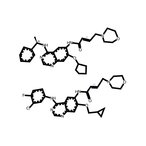 C[C@@H](Nc1ncnc2cc(OC3CCCC3)c(NC(=O)/C=C/CN3CCOCC3)cc12)c1ccccc1.O=C(/C=C/CN1CCOCC1)Nc1cc2c(Nc3ccc(F)c(Cl)c3)ncnc2cc1OCC1CC1